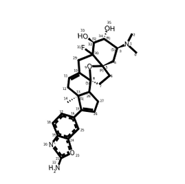 CN(C)[C@H]1C[C@@]23CC[C@@]4(O2)C(=CC[C@]2(C)C(c5ccc6nc(N)oc6c5)=CCC24)CC3(F)[C@@H](O)[C@@H]1O